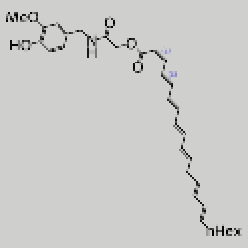 CCCCCCC=CC=CCC=CC=CC=C/C=C/C=C\C(=O)OCC(=O)NCc1ccc(O)c(OC)c1